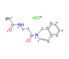 CC(C)C(=O)NCCC(=O)N1C=Cc2ccccc2C1.Cl